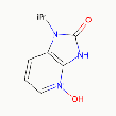 CC(C)n1c(=O)[nH]c2c1ccc[n+]2O